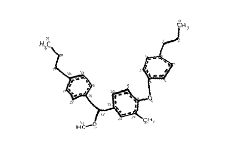 CCCc1ccc(Oc2ccc(C(OO)c3ccc(CCC)cc3)cc2C)cc1